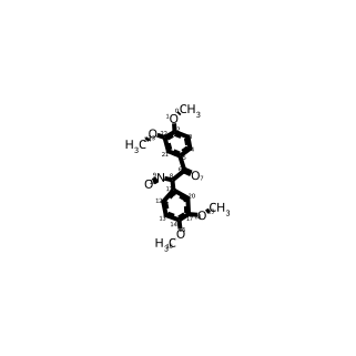 COc1ccc(C(=O)C(N=O)c2ccc(OC)c(OC)c2)cc1OC